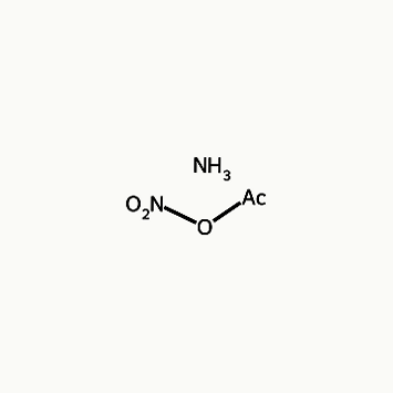 CC(=O)O[N+](=O)[O-].N